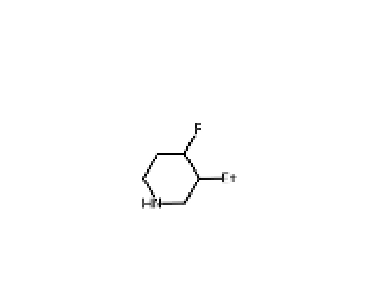 CCC1CNCCC1F